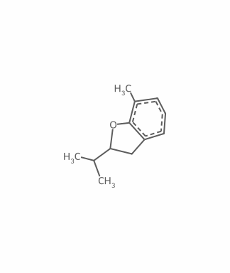 Cc1cccc2c1OC(C(C)C)C2